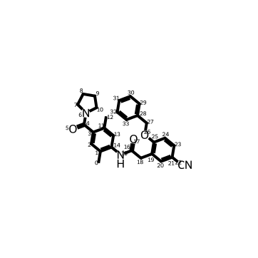 Cc1cc(C(=O)N2CCCC2)c(C)cc1NC(=O)Cc1cc(C#N)ccc1OCc1ccccc1